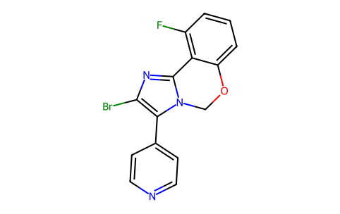 Fc1cccc2c1-c1nc(Br)c(-c3ccncc3)n1CO2